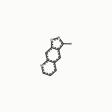 Ic1noc2cc3ncccc3cc12